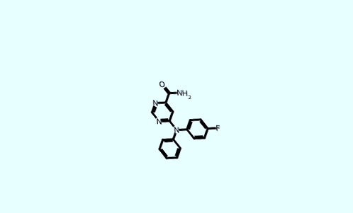 NC(=O)c1cc(N(c2ccccc2)c2ccc(F)cc2)ncn1